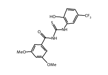 COc1cc(OC)cc(C(=O)NC(=S)Nc2cc(C(F)(F)F)ccc2O)c1